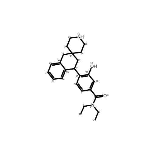 CCN(CC)C(=O)c1ccc(C2CC3(CCNCC3)Cc3ccccc32)c(O)c1